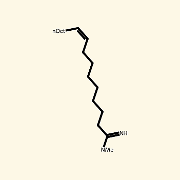 CCCCCCCC/C=C\CCCCCCCC(=N)NC